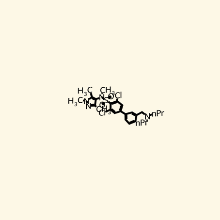 CCCN(CCC)Cc1cccc(-c2cc(Cl)c(S(=O)(=O)N(C)c3c(C)nn(C)c3C)c(Cl)c2)c1